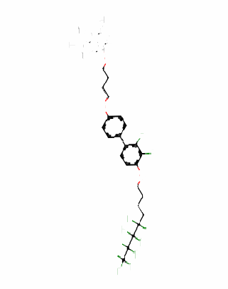 C[Si](C)(C)[Si](C)(C)OCCCCOc1ccc(-c2ccc(OCCCCC(F)(F)C(F)(F)C(F)(F)C(F)(F)F)c(F)c2F)cc1